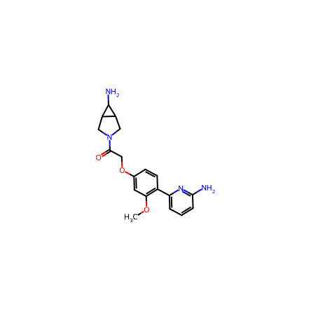 COc1cc(OCC(=O)N2CC3C(N)C3C2)ccc1-c1cccc(N)n1